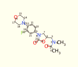 CC(=O)N(C)CC1CN(c2ccc(N3CCOCC3)c(F)c2)C(=O)O1